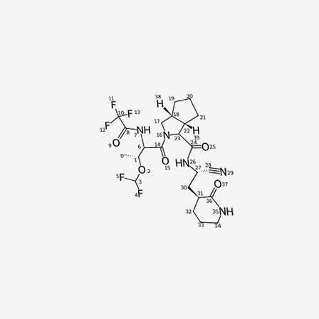 C[C@@H](OC(F)F)C(NC(=O)C(F)(F)F)C(=O)N1C[C@@H]2CCC[C@@H]2C1C(=O)N[C@H](C#N)C[C@@H]1CCCNC1=O